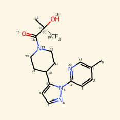 Cc1ccc(-n2nccc2C2CCN(C(=O)[C@@](C)(O)C(F)(F)F)CC2)nc1